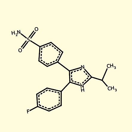 CC(C)c1nc(-c2ccc(S(N)(=O)=O)cc2)c(-c2ccc(F)cc2)[nH]1